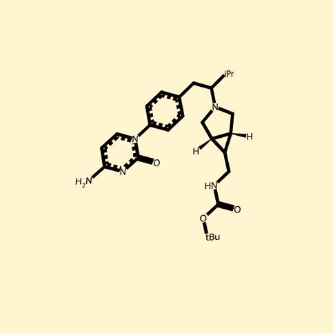 CC(C)C(Cc1ccc(-n2ccc(N)nc2=O)cc1)N1C[C@@H]2C(CNC(=O)OC(C)(C)C)[C@@H]2C1